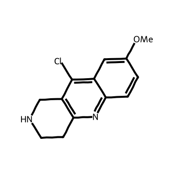 COc1ccc2nc3c(c(Cl)c2c1)CNCC3